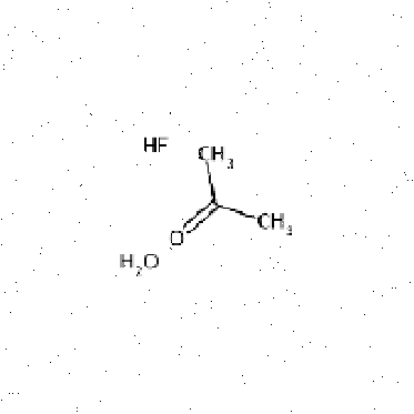 CC(C)=O.F.O